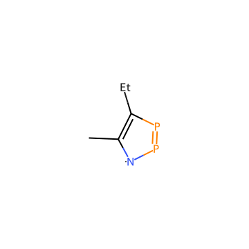 CCC1=C(C)[N]P=P1